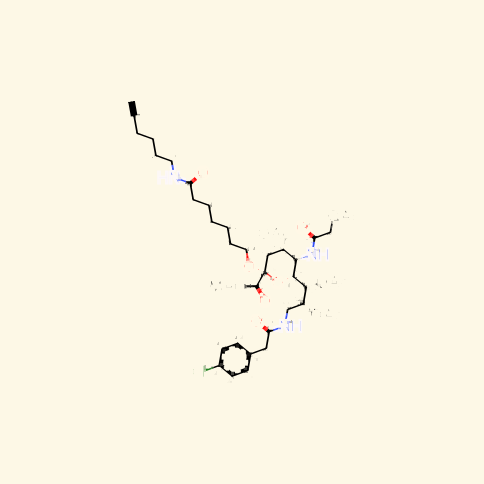 C#CCCCCNC(=O)CCCCCCO[C@]1(C(=O)OC)C[C@H](OC(C)=O)[C@@H](NC(=O)COC(C)=O)[C@H]([C@H](OC(C)=O)[C@@H](CNC(=O)Cc2ccc(Cl)cc2)OC(C)=O)O1